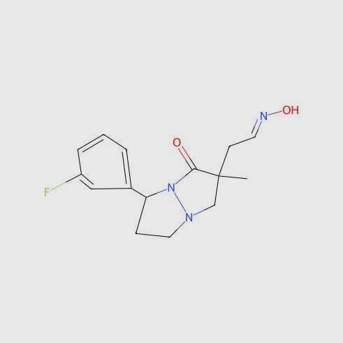 CC1(CC=NO)CN2CCC(c3cccc(F)c3)N2C1=O